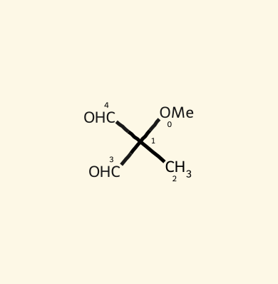 COC(C)(C=O)C=O